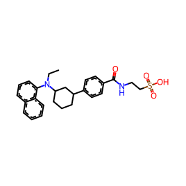 CCN(c1cccc2ccccc12)C1CCCC(c2ccc(C(=O)NCCS(=O)(=O)O)cc2)C1